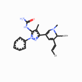 CC/C=C/C1=CC(c2nn(-c3ccccc3)c(NC(N)=O)c2C)=CN(C)C1NC